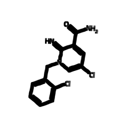 N=c1c(C(N)=O)cc(Cl)cn1Cc1ccccc1Cl